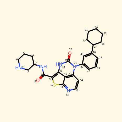 O=C(NC1CCCNC1)c1sc2nccc3c2c1NC(=O)N3c1cccc(C2CCCCC2)c1